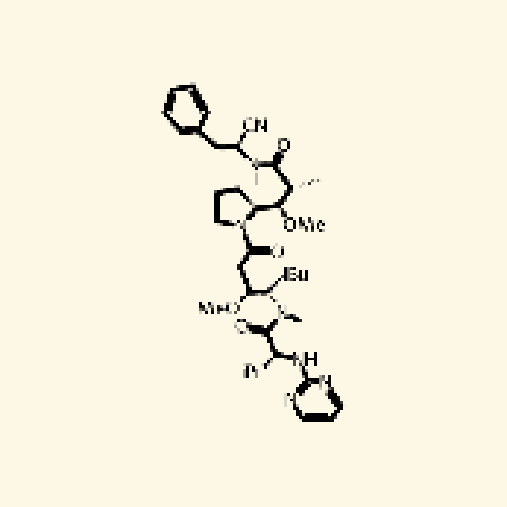 CC[C@H](C)[C@@H]([C@H](CC(=O)N1CCC[C@H]1[C@H](OC)[C@@H](C)C(=O)N[C@H](C#N)Cc1ccccc1)OC)N(C)C(=O)[C@@H](Nc1ncccn1)C(C)C